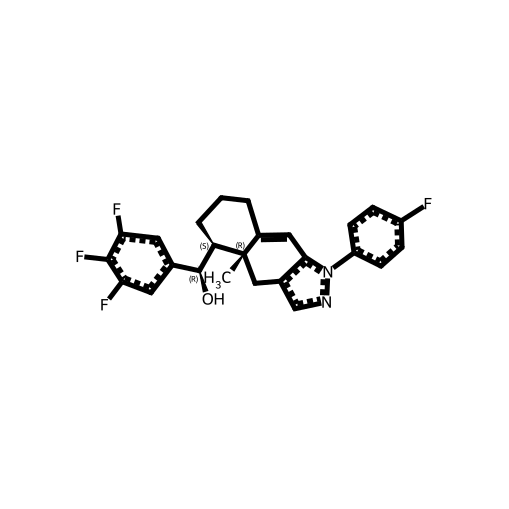 C[C@]12Cc3cnn(-c4ccc(F)cc4)c3C=C1CCC[C@@H]2[C@@H](O)c1cc(F)c(F)c(F)c1